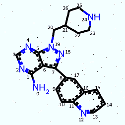 Nc1ncnc2c1c(-c1ccc3ncccc3c1)nn2CC1CCNCC1